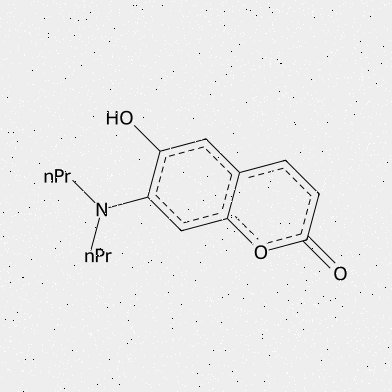 CCCN(CCC)c1cc2oc(=O)ccc2cc1O